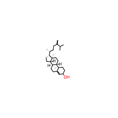 C=C(CC[C@@H](C)[C@H]1CC[C@H]2[C@@H]3CCC4=CC(O)CC[C@]4(C)[C@H]3CC[C@]12C)C(C)C